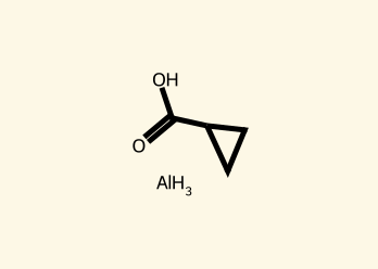 O=C(O)C1CC1.[AlH3]